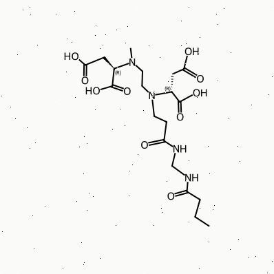 CCCC(=O)NCNC(=O)CCN(CCN(C)[C@H](CC(=O)O)C(=O)O)[C@H](CC(=O)O)C(=O)O